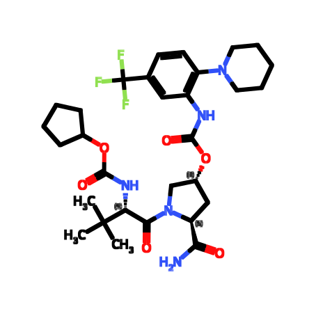 CC(C)(C)[C@H](NC(=O)OC1CCCC1)C(=O)N1C[C@H](OC(=O)Nc2cc(C(F)(F)F)ccc2N2CCCCC2)C[C@H]1C(N)=O